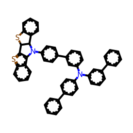 c1ccc(-c2ccc(N(c3cccc(-c4ccccc4)c3)c3cccc(-c4ccc(N5c6c(sc7ccccc67)C6Sc7ccccc7C65)cc4)c3)cc2)cc1